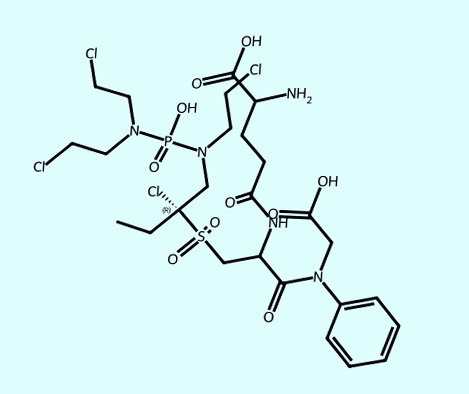 CC[C@@](Cl)(CN(CCCl)P(=O)(O)N(CCCl)CCCl)S(=O)(=O)CC(NC(=O)CCC(N)C(=O)O)C(=O)N(CC(=O)O)c1ccccc1